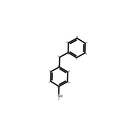 Sc1ccc(Cc2ccccc2)cc1